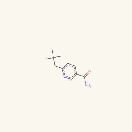 CC(C)(C)[CH]c1ccc(C(N)=O)cn1